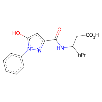 CCCC(CC(=O)O)NC(=O)c1cc(O)n(-c2ccccc2)n1